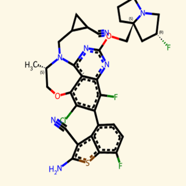 C[C@H]1COc2c(Cl)c(-c3ccc(F)c4sc(N)c(C#N)c34)c(F)c3nc(OC[C@@]45CCCN4C[C@H](F)C5)nc(c23)N1CC1CC1C#N